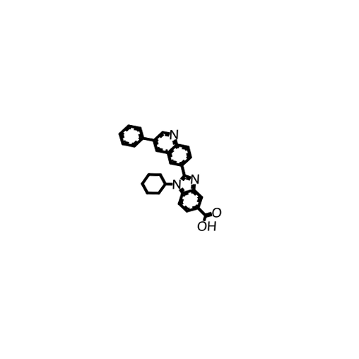 O=C(O)c1ccc2c(c1)nc(-c1ccc3ncc(-c4ccccc4)cc3c1)n2C1CCCCC1